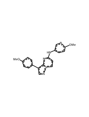 COc1ccc(-c2cnn3ccc(Nc4ccc(OC)nc4)nc23)cc1